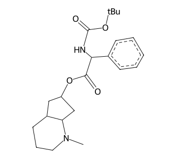 CN1CCCC2CC(OC(=O)C(NC(=O)OC(C)(C)C)c3ccccc3)CC21